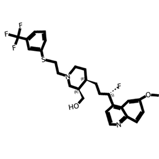 COc1ccc2nccc([C@@H](F)CC[C@@H]3CCN(CCSc4cccc(C(F)(F)F)c4)C[C@@H]3CO)c2c1